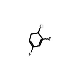 FC1=C[CH]C(Cl)C(F)=C1